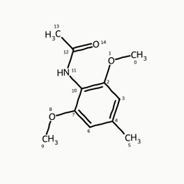 COc1cc(C)cc(OC)c1NC(C)=O